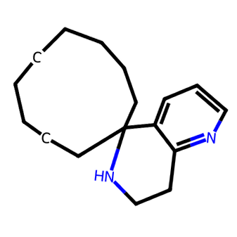 c1cnc2c(c1)C1(CCCCCCCCC1)NCC2